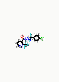 O=C(NCC(F)(F)c1ccc(Cl)cc1)c1cccnc1C(F)(F)F